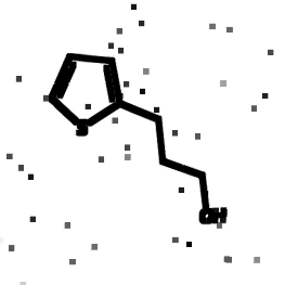 OCCCc1cc[c]s1